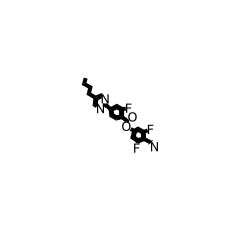 CCCCc1cnc(-c2ccc(C(=O)Oc3cc(F)c(C#N)c(F)c3)c(F)c2)nc1